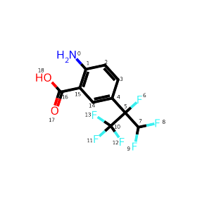 Nc1ccc(C(F)(C(F)F)C(F)(F)F)cc1C(=O)O